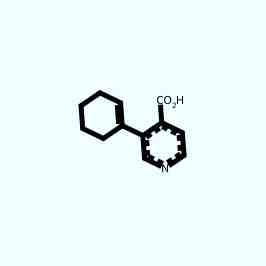 O=C(O)c1ccncc1C1=CCCCC1